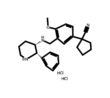 COc1ccc(C2(C#N)CCCC2)cc1CN[C@H]1CCCN[C@H]1c1ccccc1.Cl.Cl